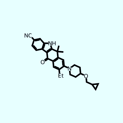 CCc1cc2c(cc1N1CCC(OCC3CC3)CC1)C(C)(C)c1[nH]c3cc(C#N)ccc3c1C2=O